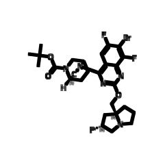 CC(C)(C)OC(=O)N1CC2CC[C@H]1CN2c1nc(OC[C@@]23CCCN2C[C@H](F)C3)nc2c(F)c(Br)c(F)cc12